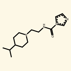 CC(C)C1CCN(CCNC(=O)n2ccnc2)CC1